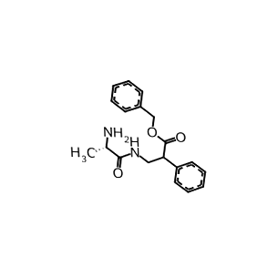 C[C@H](N)C(=O)NCC(C(=O)OCc1ccccc1)c1ccccc1